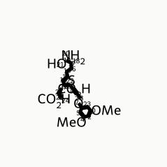 COc1cc(OC)cc(OCC#Cc2ccc(CC[C@@H](C)C(N)O)s2)c1.O=C(O)/C=C\C(=O)O